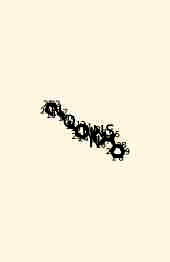 c1ccc(-c2csc3nc(N4CCC(COCCN5CCCC5)CC4)ncc23)cc1